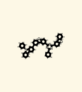 c1ccc(-c2nc(-c3ccc4oc5ccccc5c4c3)nc(-c3ccc4oc5ccc(-c6ccc7c8ccccc8n(-c8ccccc8)c7c6)cc5c4c3)n2)cc1